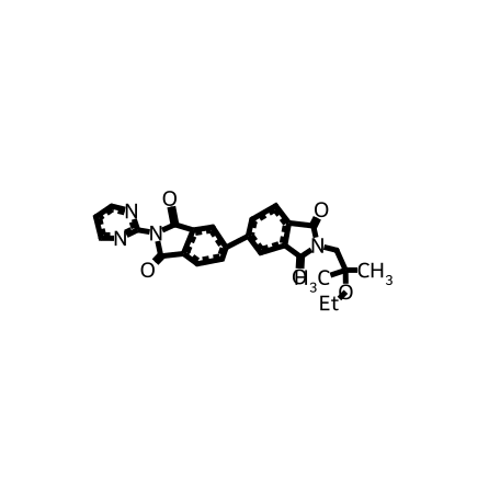 CCOC(C)(C)CN1C(=O)c2ccc(-c3ccc4c(c3)C(=O)N(c3ncccn3)C4=O)cc2C1=O